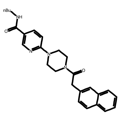 CCCCNC(=O)c1ccc(N2CCN(C(=O)Cc3ccc4ccccc4c3)CC2)nc1